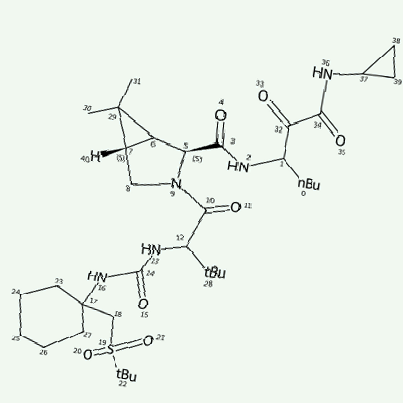 CCCCC(NC(=O)[C@@H]1C2[C@H](CN1C(=O)C(NC(=O)NC1(CS(=O)(=O)C(C)(C)C)CCCCC1)C(C)(C)C)C2(C)C)C(=O)C(=O)NC1CC1